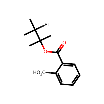 CCC(C)(C)C(C)(C)OC(=O)c1ccccc1C(=O)O